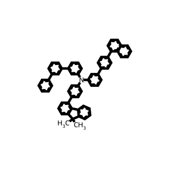 CC1(C)c2ccccc2-c2c(-c3ccc(N(c4cccc(-c5ccc(-c6cccc7ccccc67)cc5)c4)c4cccc(-c5cccc(-c6ccccc6)c5)c4)cc3)cccc21